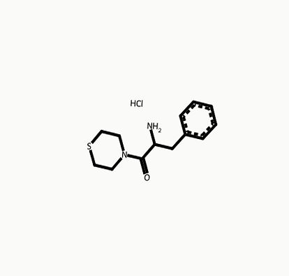 Cl.NC(Cc1ccccc1)C(=O)N1CCSCC1